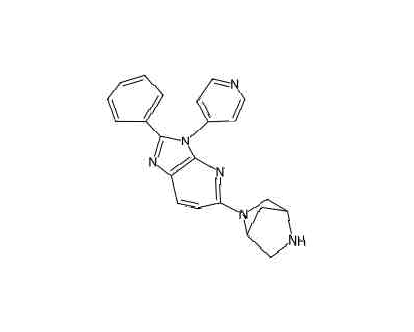 c1ccc(-c2nc3ccc(N4CC5CC4CN5)nc3n2-c2ccncc2)cc1